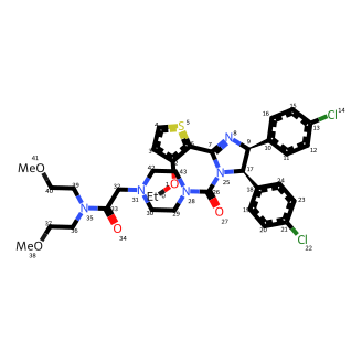 CCOc1ccsc1C1=N[C@@H](c2ccc(Cl)cc2)[C@@H](c2ccc(Cl)cc2)N1C(=O)N1CCN(CC(=O)N(CCOC)CCOC)CC1